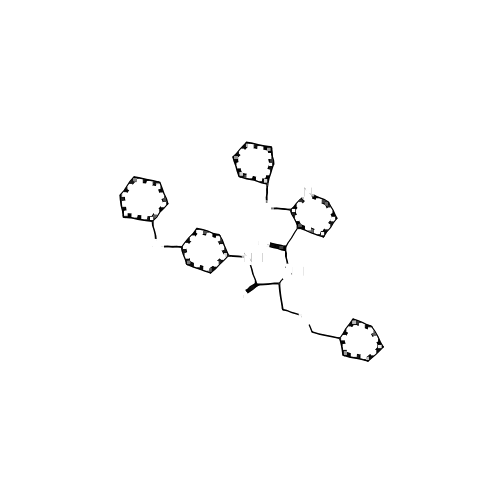 O=C(NC(COCc1ccccc1)C(=O)Nc1ccc(Oc2ccccc2)cc1)c1cccnc1Oc1ccccc1